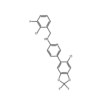 Fc1cccc(CNc2ccc(-c3cc4c(cc3Cl)OC(F)(F)O4)cn2)c1Cl